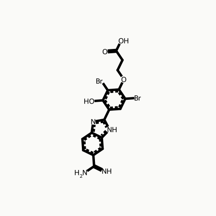 N=C(N)c1ccc2nc(-c3cc(Br)c(OCCC(=O)O)c(Br)c3O)[nH]c2c1